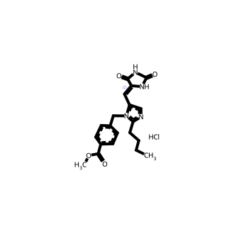 CCCCc1ncc(/C=C2\NC(=O)NC2=O)n1Cc1ccc(C(=O)OC)cc1.Cl